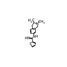 CC1Cc2ccc(NC(=N)c3cccs3)cc2CN1C